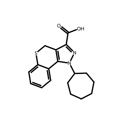 O=C(O)c1nn(C2CCCCCC2)c2c1CSc1ccccc1-2